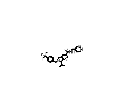 CC(C)C1c2ncc(C(=O)NCc3ccnnc3)cc2CN1Cc1ccc(C(F)(F)F)cc1